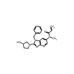 C=CC(=O)N(C)c1cnc2nc(N3CC[C@@H](O)C3)n(Cc3ccccc3)c2c1